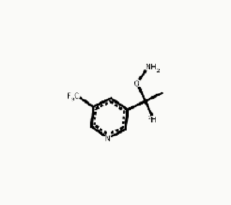 [2H]C(C)(ON)c1cncc(C(F)(F)F)c1